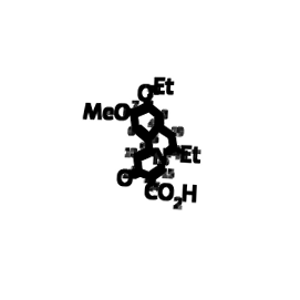 CCOc1cc2c(cc1OC)-c1cc(=O)c(C(=O)O)cn1[C@H](CC)C2